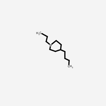 CC[CH]N1CCC(CCCC)CC1